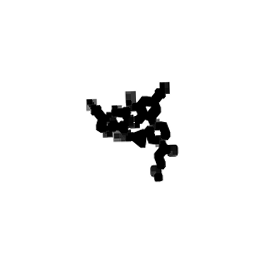 COCCC(=O)N1CCN(c2cc(C#N)cc(Nc3nc(NC4CC4)c4ncc(C#N)n4n3)c2Cl)CC1